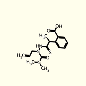 C=CCN(NC(=S)C(C)c1ccccc1C(=O)O)C(=O)N(C)C